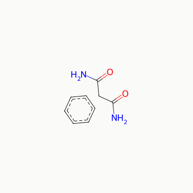 NC(=O)CC(N)=O.c1ccccc1